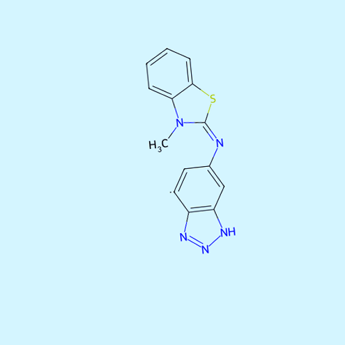 Cn1c(=Nc2c[c]c3nn[nH]c3c2)sc2ccccc21